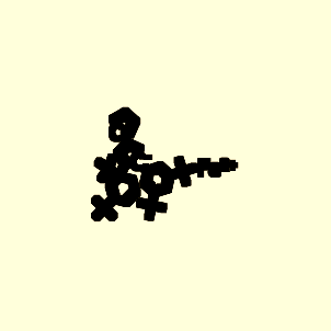 CC(C)(C)C1=CC(c2ccc[c-]2-c2cc(C(C)(C)C)cc(C(C)(C)C)c2)(C(C)(C)C)CC=C1.[Fe+2].c1cc[cH-]c1